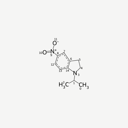 CC(C)N1CCc2cc([N+](=O)[O-])ccc21